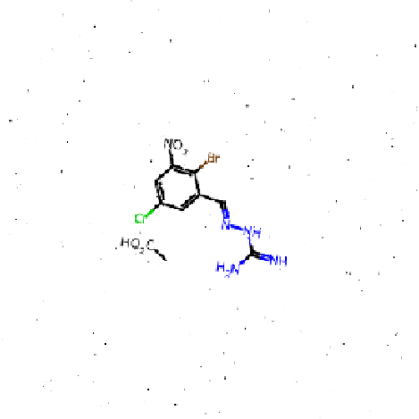 CC(=O)O.N=C(N)NN=Cc1cc(Cl)cc([N+](=O)[O-])c1Br